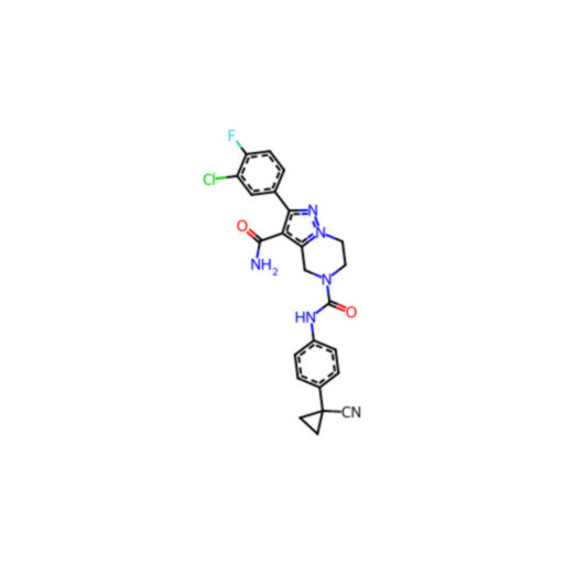 N#CC1(c2ccc(NC(=O)N3CCn4nc(-c5ccc(F)c(Cl)c5)c(C(N)=O)c4C3)cc2)CC1